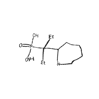 CCC(CC)(C1CCCC[N]1)P(=O)(O)O